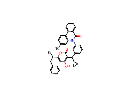 CCC(Cc1ccccc1)c1cc(O)c(C(c2cccc(NC(=O)c3ccccc3-c3ccc(C#N)cc3)c2)C2CC2)c(=O)o1